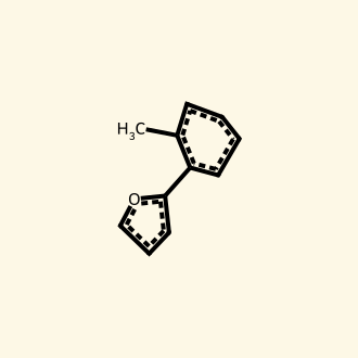 Cc1ccccc1-c1ccco1